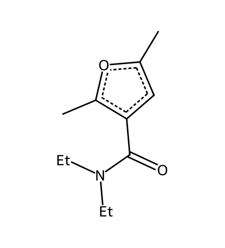 CCN(CC)C(=O)c1cc(C)oc1C